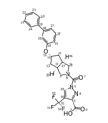 O=C(O)c1nn(C(=O)N2C[C@H]3C[C@H](Oc4cccc(-c5ccccc5)c4)C[C@H]3C2)cc1C(F)(F)F